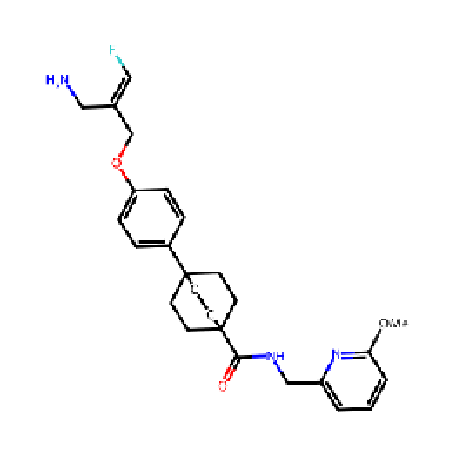 COc1cccc(CNC(=O)C23CCC(c4ccc(OCC(=CF)CN)cc4)(CC2)CC3)n1